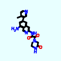 Cc1ccncc1-c1cc(N)c2cnc(NC(=O)C(=O)N3CCNC(=O)C3)cc2c1